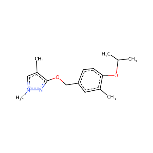 Cc1cc(COc2nn(C)cc2C)ccc1OC(C)C